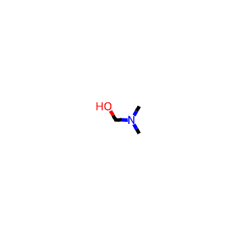 CN(C)CO